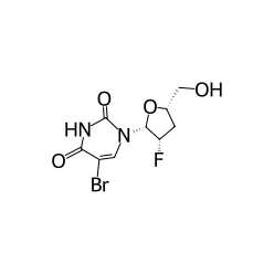 O=c1[nH]c(=O)n([C@@H]2O[C@H](CO)C[C@@H]2F)cc1Br